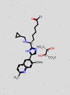 CCC(=O)CCCCC[C@H](NCC1CC1)c1ncc(-c2cc3ccc(C)nc3cc2OC)[nH]1.O=C(O)[C@H](O)[C@@H](O)C(=O)O